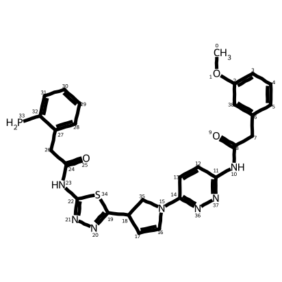 COc1cccc(CC(=O)Nc2ccc(N3C=CC(c4nnc(NC(=O)Cc5ccccc5P)s4)C3)nn2)c1